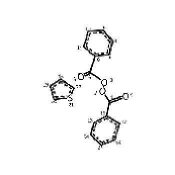 O=C(OOC(=O)c1ccccc1)c1ccccc1.c1ccsc1